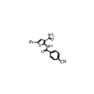 CC(C)c1cc(C(N)=O)c(NC(=O)c2ccc(C#N)cc2)s1